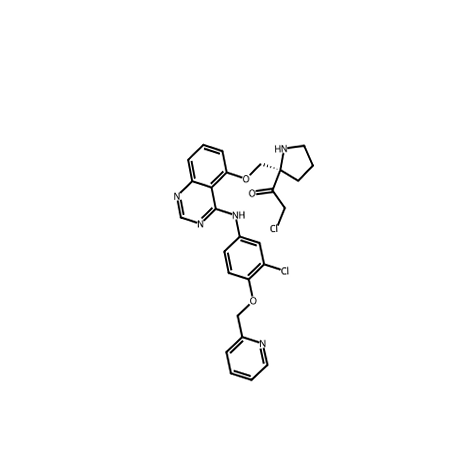 O=C(CCl)[C@]1(COc2cccc3ncnc(Nc4ccc(OCc5ccccn5)c(Cl)c4)c23)CCCN1